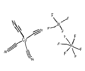 F[B-](F)(F)F.F[P-](F)(F)(F)(F)F.N#[C][Cu]([C]#N)([C]#N)[C]#N